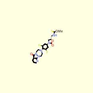 COC(=S)NC[C@H]1CN(c2cc(F)c(N3CCn4c(=O)c5cccnc5n4CC3)c(F)c2)C(=O)O1